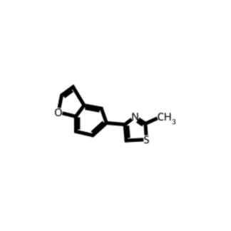 Cc1nc(-c2ccc3occc3c2)cs1